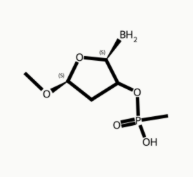 B[C@@H]1O[C@H](OC)CC1OP(C)(=O)O